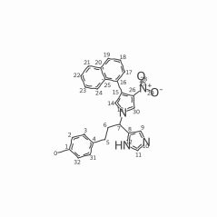 Cc1ccc(CCC(c2cnc[nH]2)n2cc(-c3cccc4ccccc34)c([N+](=O)[O-])c2)cc1